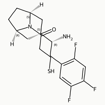 N[C@H](Cc1cc(F)c(F)cc1F)[C@@H]1C[C@H]2CC[C@@H](C1)N2C(=O)CCS